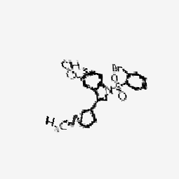 COc1ccc2c(c1)c(C1CCN(C)C1)cn2S(=O)(=O)c1ccccc1Br